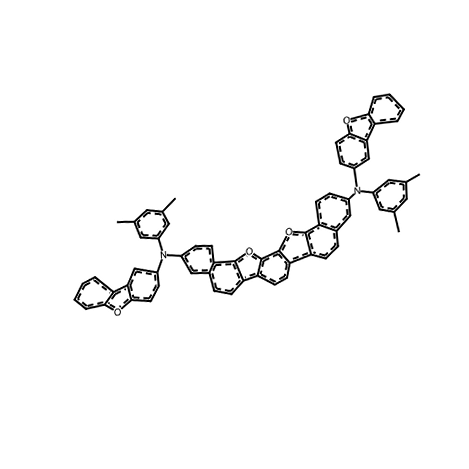 Cc1cc(C)cc(N(c2ccc3c(ccc4c5ccc6c7ccc8cc(N(c9cc(C)cc(C)c9)c9ccc%10oc%11ccccc%11c%10c9)ccc8c7oc6c5oc34)c2)c2ccc3oc4ccccc4c3c2)c1